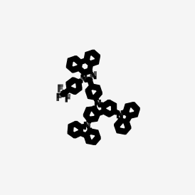 FC(F)(F)c1ccc(-n2c(-c3ccc(-n4c5ccc(-n6c7ccccc7c7ccccc76)cc5c5cc(-n6c7ccccc7c7ccccc76)ccc54)cc3)nc3c4ccccc4c4ccccc4c32)cc1